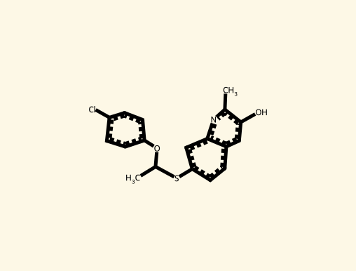 Cc1nc2cc(SC(C)Oc3ccc(Cl)cc3)ccc2cc1O